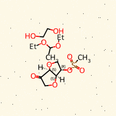 CCOC(C)OCC.CS(=O)(=O)O[C@@H]1CO[C@@H]2C(=O)CO[C@@H]21.OCCO